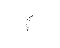 CC(C)Cc1cnc(N2CCC(Oc3ccn(-c4ccc(S(C)(=O)=O)cc4)c(=O)c3)CC2)nc1